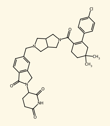 CC1(C)CCC(C(=O)N2CC3CN(Cc4ccc5c(c4)CN(C4CCC(=O)NC4=O)C5=O)CC3C2)=C(c2ccc(Cl)cc2)C1